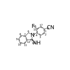 N#Cc1ccc(N2Cc3ccccc3C2=N)c(F)c1